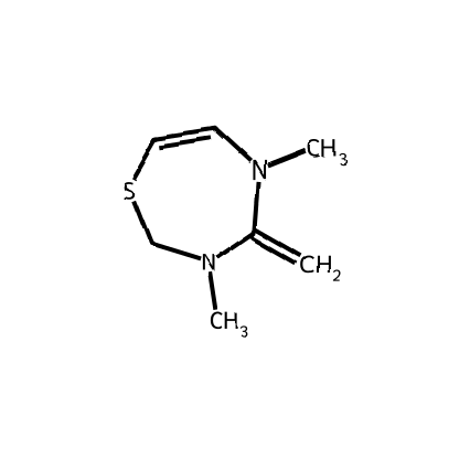 C=C1N(C)C=CSCN1C